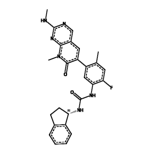 CNc1ncc2cc(-c3cc(NC(=O)N[C@H]4CCc5ccccc54)c(F)cc3C)c(=O)n(C)c2n1